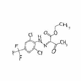 CCOC(=O)C(=NNc1c(Cl)cc(C(F)(F)F)cc1Cl)C(C)=O